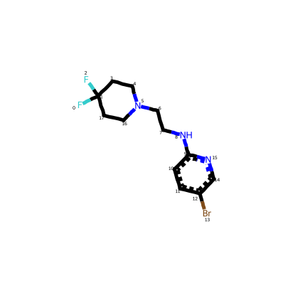 FC1(F)CCN(CCNc2ccc(Br)cn2)CC1